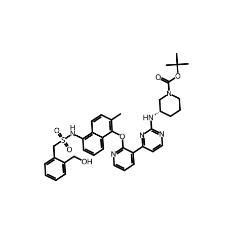 Cc1ccc2c(NS(=O)(=O)Cc3ccccc3CO)cccc2c1Oc1ncccc1-c1ccnc(N[C@H]2CCCN(C(=O)OC(C)(C)C)C2)n1